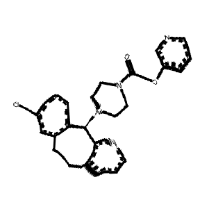 O=C(Oc1cccnc1)N1CCN([C@@H]2c3ccc(Cl)cc3CCc3cccnc32)CC1